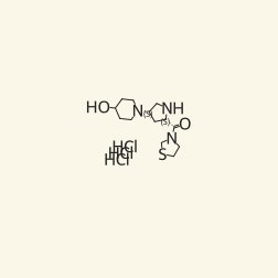 Cl.Cl.Cl.O=C([C@@H]1C[C@H](N2CCC(O)CC2)CN1)N1CCSC1